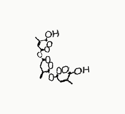 C=C(CC(=O)OC(=O)/C=C(/C)C(=O)O)C(=O)OC(=O)/C=C(/C)C(=O)O